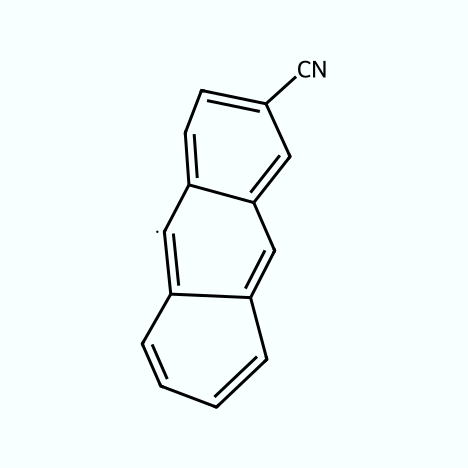 N#Cc1ccc2[c]c3ccccc3cc2c1